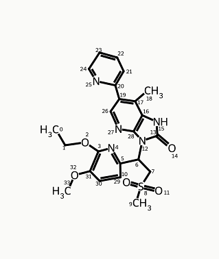 CCOc1nc(C(CS(C)(=O)=O)n2c(=O)[nH]c3c(C)c(-c4ccccn4)cnc32)ccc1OC